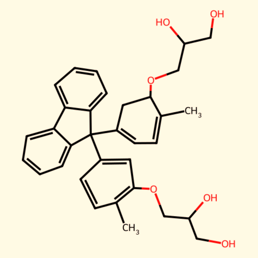 CC1=CC=C(C2(c3ccc(C)c(OCC(O)CO)c3)c3ccccc3-c3ccccc32)CC1OCC(O)CO